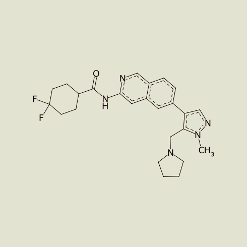 Cn1ncc(-c2ccc3cnc(NC(=O)C4CCC(F)(F)CC4)cc3c2)c1CN1CCCC1